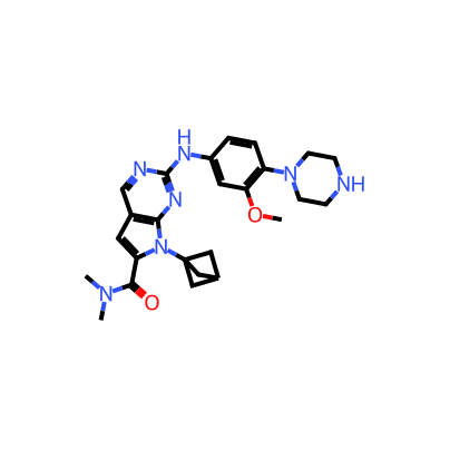 COc1cc(Nc2ncc3cc(C(=O)N(C)C)n(C45CC(C4)C5)c3n2)ccc1N1CCNCC1